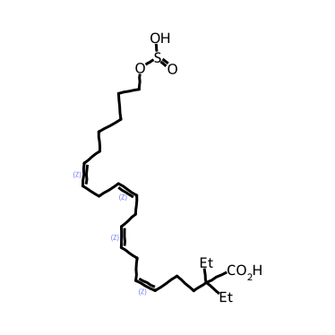 CCC(CC)(CC/C=C\C/C=C\C/C=C\C/C=C\CCCCCOS(=O)O)C(=O)O